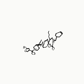 CCCCC1CN(CC2CCCCC2)C(=O)OC12CCN(C1(C)CCN(C(=O)c3coc(Br)c3)CC1)CC2